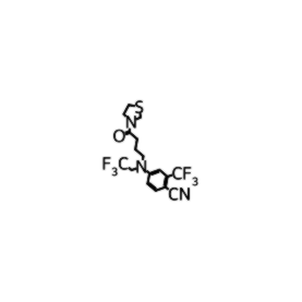 N#Cc1ccc(N(CCCC(=O)N2CCSC2)CC(F)(F)F)cc1C(F)(F)F